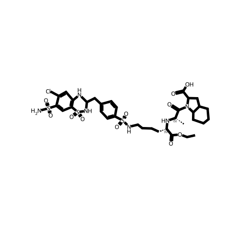 CCOC(=O)[C@H](CCCCNS(=O)(=O)c1ccc(CC2Nc3cc(Cl)c(S(N)(=O)=O)cc3S(=O)(=O)N2)cc1)N[C@@H](C)C(=O)N1C(C(=O)O)CC2CCCCC21